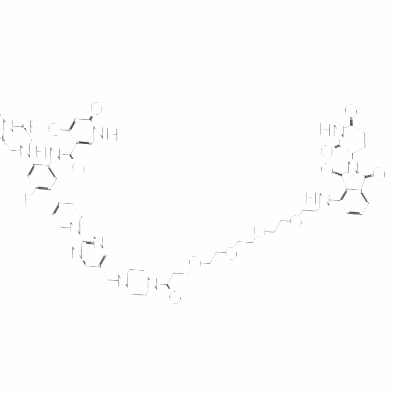 C[C@@H]1CN(c2cc(F)c(C3=CCN(c4ncc(CN5CCN(C(=O)CCOCCOCCOCCOCCNc6cccc7c6C(=O)N(C6CCC(=O)NC6=O)C7=O)CC5)cn4)CC3)cc2NC(=O)c2c[nH]c(=O)cc2C(F)(F)F)C[C@H](C)N1C